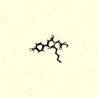 CCCCCc1nc(-c2ccc(Cl)cc2)cc(=O)n1CC(=O)OC